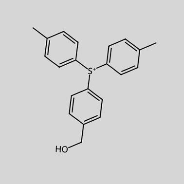 Cc1ccc([S+](c2ccc(C)cc2)c2ccc(CO)cc2)cc1